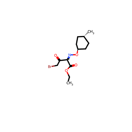 CCOC(=O)C(=NO[C@H]1CC[C@H](C)CC1)C(=O)CBr